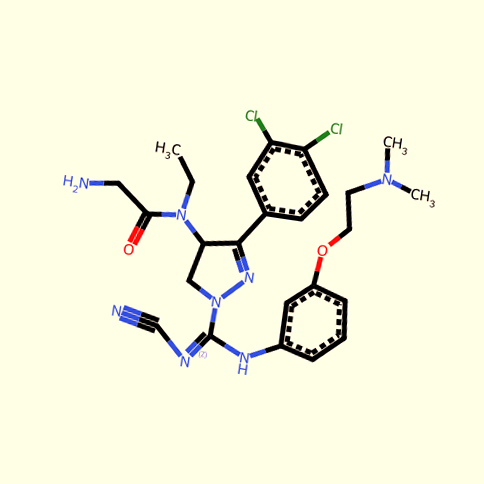 CCN(C(=O)CN)C1CN(/C(=N\C#N)Nc2cccc(OCCN(C)C)c2)N=C1c1ccc(Cl)c(Cl)c1